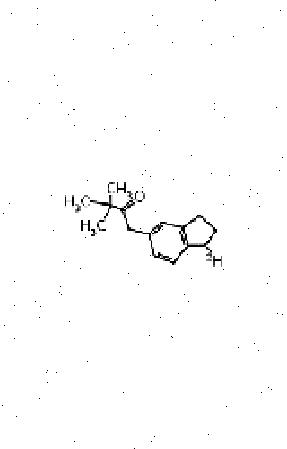 [2H]C1CCc2cc(CC(=O)C(C)(C)C)ccc21